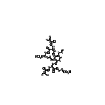 C=CCc1ccc(OCC(COC(=O)C(=C)C)C(=O)OCCC(=O)O)c(CC=C)c1OCC(COC(=O)C(=C)C)C(=O)OCCC(=O)O